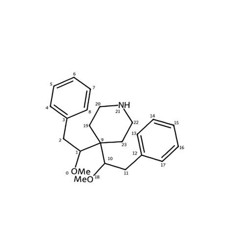 COC(Cc1ccccc1)C1(C(Cc2ccccc2)OC)CCNCC1